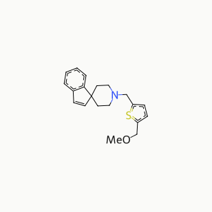 COCc1ccc(CN2CCC3(C=Cc4ccccc43)CC2)s1